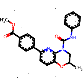 COC(=O)c1ccc(-c2ccc3c(n2)N(C(=O)Nc2ccccc2)CC(C)O3)cc1